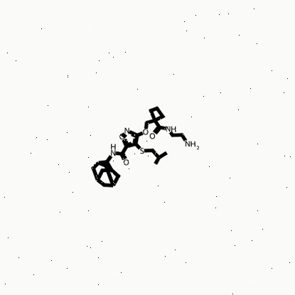 CC(C)CSc1c(OCC2(C(=O)NCCN)CCC2)noc1C(=O)NC1C2CC3CC(C2)CC1C3